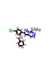 CSc1nncc2cc(-c3ccc(Br)cc3OCc3ccccc3)nn12